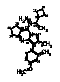 COc1ccc(-c2c(C)nn3c(N(N)C(C)C4CCC4)c4c(nc23)CCC4)c(C)c1